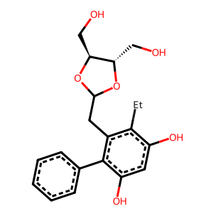 CCc1c(O)cc(O)c(-c2ccccc2)c1CC1O[C@@H](CO)[C@H](CO)O1